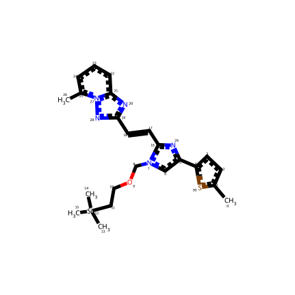 Cc1ccc(-c2cn(COCC[Si](C)(C)C)c(/C=C/c3nc4cccc(C)n4n3)n2)s1